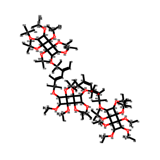 CC=C(C=C(C)[Si](C)(C)OC12C3(O[SiH2]C)C4(O[SiH2]C)C5(O[SiH2]C)C3(O[SiH2]C)C1(O[Si](C)(C)C)C5(O[Si](C)(C)C(C)=CC=C(C)[Si](C)(C)OC13C5(O[SiH2]C)C6(O[SiH2]C)C7(O[SiH2]C)C5(O[SiH2]C)C1(O[Si](C)(C)C)C7(O[Si](C)(C)C)C63O[Si](C)(C)C)C42O[Si](C)(C)C)[Si](C)(C)OC12C3(O[SiH2]C)C4(O[SiH2]C)C5(O[SiH](C)CC)C3(O[SiH](C)CC)C1(O[Si](C)(C)C)C5(O[Si](C)(C)C)C42O[Si](C)(C)C